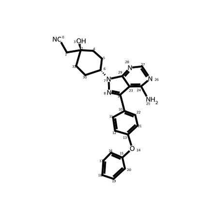 N#CC[C@]1(O)CC[C@H](n2nc(-c3ccc(Oc4ccccc4)cc3)c3c(N)ncnc32)CC1